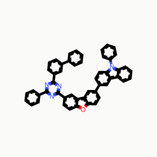 c1ccc(-c2cccc(-c3nc(-c4ccccc4)nc(-c4ccc5oc6ccc(-c7ccc8c(c7)c7ccccc7n8-c7ccccc7)cc6c5c4)n3)c2)cc1